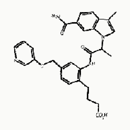 CNC(=O)c1ccc2c(C)cn(C(C)C(=O)Nc3cc(COc4cccnc4)ccc3CCCC(=O)O)c2c1